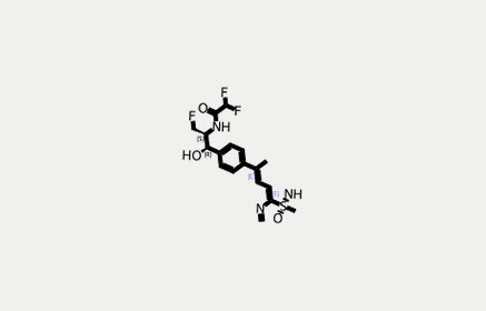 C=N/C(=C\C=C(/C)c1ccc([C@@H](O)[C@@H](CF)NC(=O)C(F)F)cc1)S(C)(=N)=O